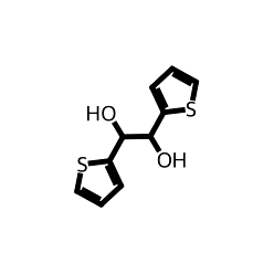 OC(c1cccs1)C(O)c1cccs1